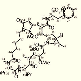 CC[C@H](C)[C@@H]([C@@H](CC(=O)N1C2=C(C)[C@H]2C[C@H]1[C@H](OC)[C@@H](C)C(=O)N[C@@H](Cc1ccccc1)C(=O)O)OC)N(C)C(=O)[C@@H](NC(=O)[C@H](C(C)C)N(C)C(=O)CCCCCN1C(=O)C=CC1=O)C(C)C